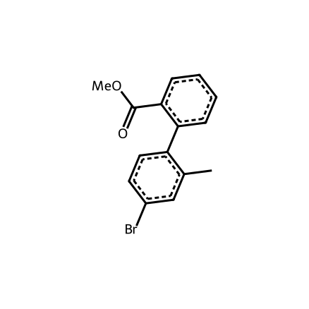 COC(=O)c1ccccc1-c1ccc(Br)cc1C